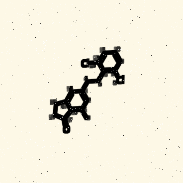 Cc1cc(CCc2c(Cl)cccc2Cl)cc2c1C(=O)CC2